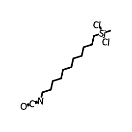 C[Si](Cl)(Cl)CCCCCCCCCCCN=C=O